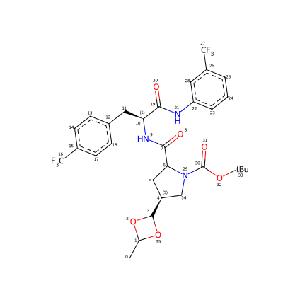 CC1OC([C@H]2CC(C(=O)N[C@@H](Cc3ccc(C(F)(F)F)cc3)C(=O)Nc3cccc(C(F)(F)F)c3)N(C(=O)OC(C)(C)C)C2)O1